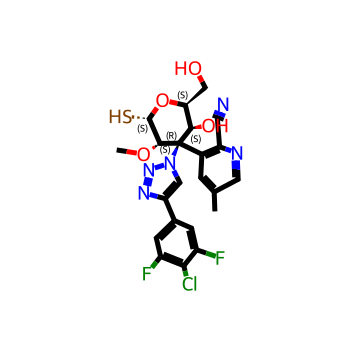 CO[C@@H]1[C@H](S)O[C@@H](CO)[C@@H](O)[C@@]1(c1cc(C)cnc1C#N)n1cc(-c2cc(F)c(Cl)c(F)c2)nn1